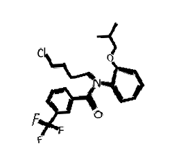 CC(C)COc1ccccc1N(CCCCCl)C(=O)c1cccc(C(F)(F)F)c1